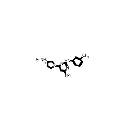 CCCc1cc(N2CC[C@H](NC(C)=O)C2)nc(Nc2cccc(C(F)(F)F)c2)n1